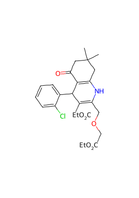 CCOC(=O)COCC1=C(C(=O)OCC)C(c2ccccc2Cl)C2=C(CC(C)(C)CC2=O)N1